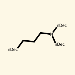 CCCCCCCCCCCCCN(CCCCCCCCCC)CCCCCCCCCC